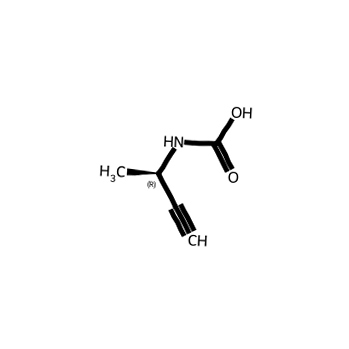 C#C[C@@H](C)NC(=O)O